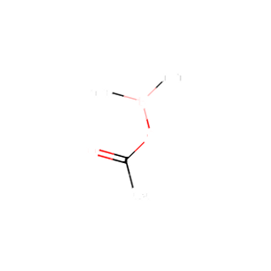 CCCB(CCC)OC(=O)C(C)(C)C